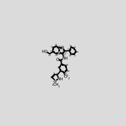 CN1C=CC(c2cc(C(=O)Nc3c(-c4ccccc4)nc4ccc(CO)cn34)ccc2C(F)(F)F)N1